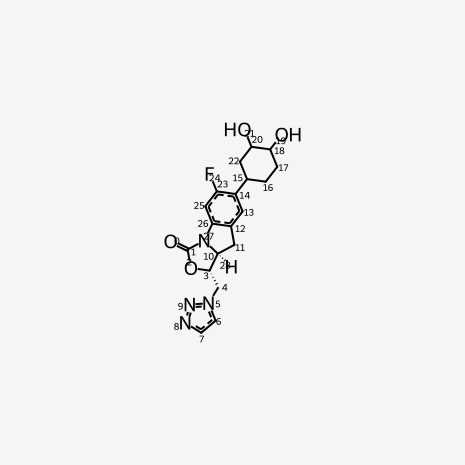 O=C1O[C@@H](Cn2ccnn2)[C@@H]2Cc3cc(C4CCC(O)C(O)C4)c(F)cc3N12